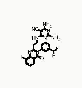 N#Cc1c(N)nc(N)nc1NCCc1nc2c(I)cccc2c(=O)n1-c1cccc(C(F)F)c1